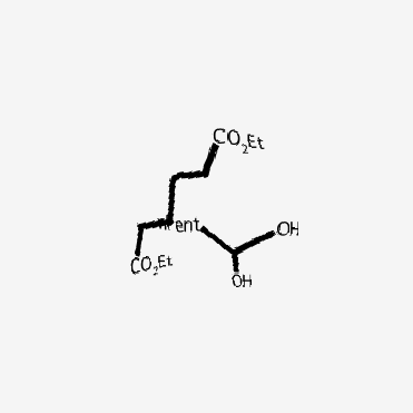 CCCCCC(O)O.CCOC(=O)CCCCC(=O)OCC